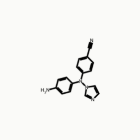 N#Cc1ccc(N(c2ccc(N)cc2)n2ccnc2)cc1